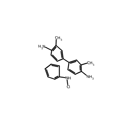 Cc1cc(-c2ccc(N)c(C)c2)ccc1N.ClNc1ccccc1